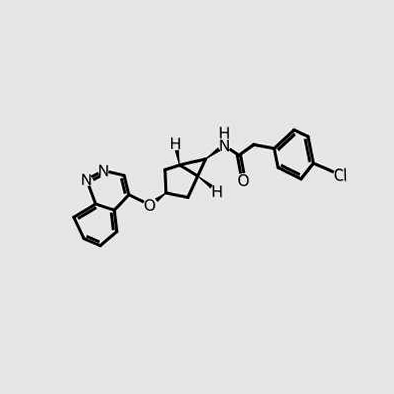 O=C(Cc1ccc(Cl)cc1)N[C@H]1[C@@H]2C[C@@H](Oc3cnnc4ccccc34)C[C@@H]21